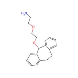 NCCOCCOC1c2ccccc2CCc2ccccc21